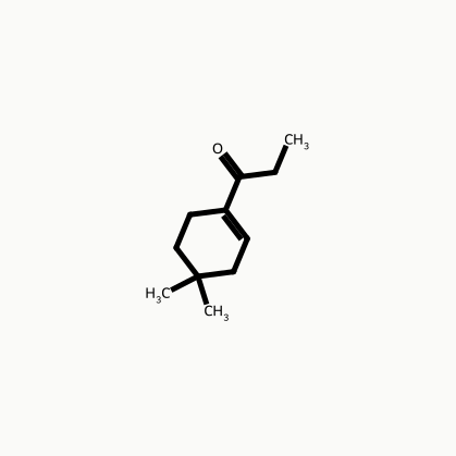 CCC(=O)C1=CCC(C)(C)CC1